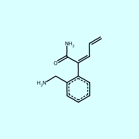 C=CC=C(C(N)=O)c1ccccc1CN